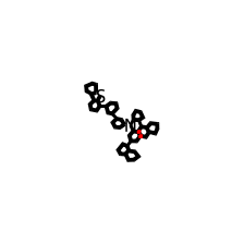 c1cc(-c2cccc(N(c3cccc(-c4cccc5ccccc45)c3)c3ccccc3-c3cccc4ccccc34)c2)cc(-c2cccc3c2sc2ccccc23)c1